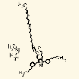 CCCCCCCCCCCCCCCCCCCCCC=CC1=C(c2cccc(CCCC)c2)[N+](=[N-])C(c2cccc(CCCC)c2)=C1CCCC.C[CH2][Ni][CH2]C